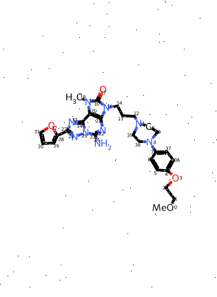 COCCOc1ccc(N2CCN(CCCn3c(=O)n(C)c4c3nc(N)n3nc(-c5ccco5)nc43)CC2)cc1